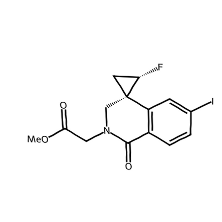 COC(=O)CN1C[C@@]2(C[C@@H]2F)c2cc(I)ccc2C1=O